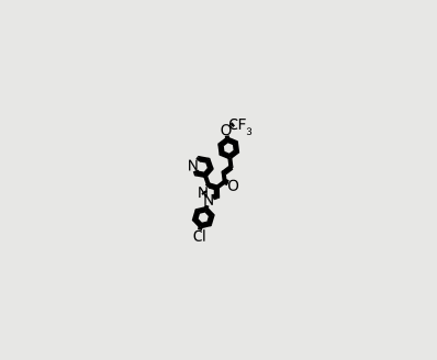 O=C(C=Cc1ccc(OC(F)(F)F)cc1)c1cn(-c2ccc(Cl)cc2)nc1-c1cccnc1